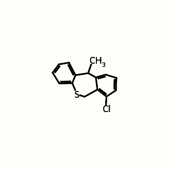 CC1c2ccccc2SCc2c(Cl)cccc21